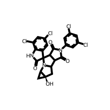 O=C1C2C3C[C@]4(O)CC4N3C3(C(=O)Nc4c(Cl)cc(Cl)cc43)C2C(=O)N1c1cc(Cl)cc(Cl)c1